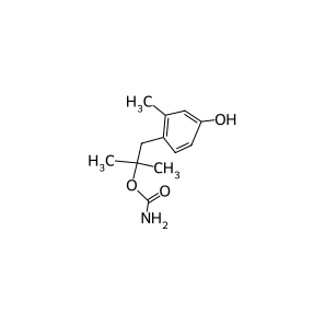 Cc1cc(O)ccc1CC(C)(C)OC(N)=O